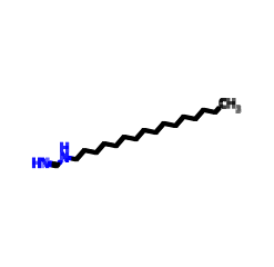 CCCCCCCCCCCCCCCCNC=N